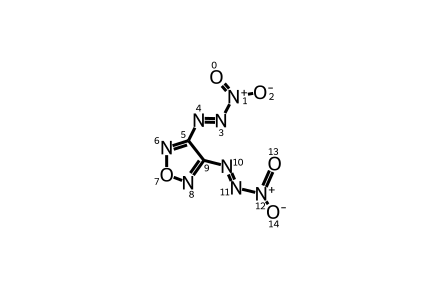 O=[N+]([O-])N=Nc1nonc1N=N[N+](=O)[O-]